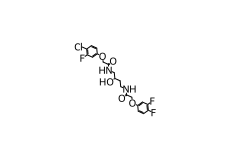 O=C(COc1ccc(F)c(F)c1)NCCC(O)CNC(=O)COc1ccc(Cl)c(F)c1